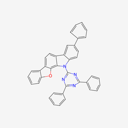 c1ccc(-c2ccc3c(c2)c2ccc4c5ccccc5oc4c2n3-c2nc(-c3ccccc3)nc(-c3ccccc3)n2)cc1